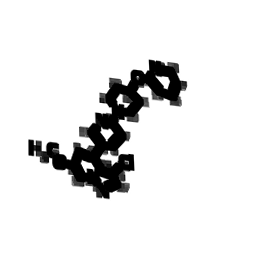 COc1cc(-c2ccc(N3CCC(Oc4ccccn4)CC3)nc2)c2c(Cl)cnn2c1